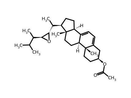 CC(=O)O[C@H]1CC[C@@]2(C)C(=CC=C3[C@@H]4CC[C@H](C(C)[C@@H]5O[C@H]5C(C)C(C)C)[C@@]4(C)CC[C@@H]32)C1